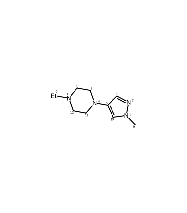 CCN1CCN(c2cnn(C)c2)CC1